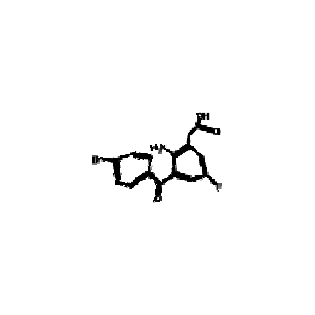 Nc1c(CC(=O)O)cc(F)cc1C(=O)c1ccc(Br)cc1